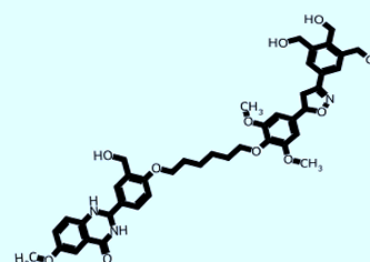 COc1ccc2c(c1)C(=O)NC(c1ccc(OCCCCCCOc3c(OC)cc(C4CC(c5cc(CO)c(CO)c(CO)c5)=NO4)cc3OC)c(CO)c1)N2